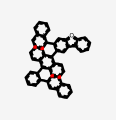 c1ccc(-c2c3ccccc3c(-c3cc4c(cc3-c3cccc5ccccc35)oc3ccccc34)c3ccccc23)c(-c2ccc3ccccc3c2)c1